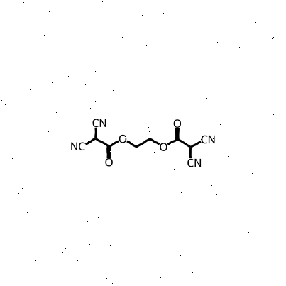 N#CC(C#N)C(=O)OCCOC(=O)C(C#N)C#N